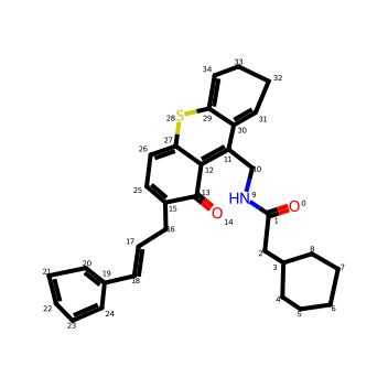 O=C(CC1CCCCC1)NCc1c2c(=O)c(CC=Cc3ccccc3)ccc-2sc2c1=CCCC=2